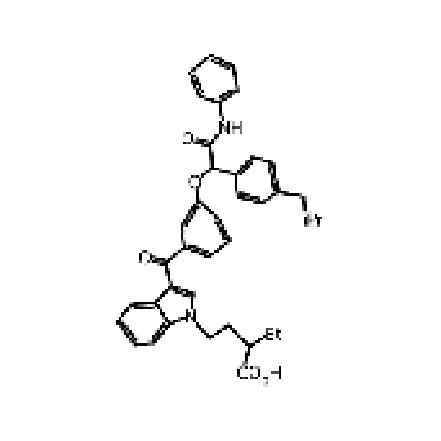 CCC(CCn1cc(C(=O)c2cccc(OC(C(=O)Nc3ccccc3)c3ccc(CC(C)C)cc3)c2)c2ccccc21)C(=O)O